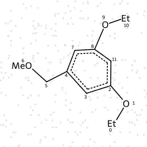 CCOc1cc(COC)cc(OCC)c1